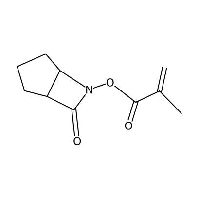 C=C(C)C(=O)ON1C(=O)C2CCCC21